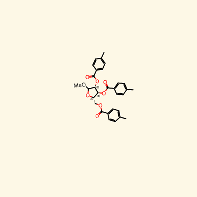 COC1O[C@@H](COC(=O)c2ccc(C)cc2)[C@H](OC(=O)c2ccc(C)cc2)[C@H]1OC(=O)c1ccc(C)cc1